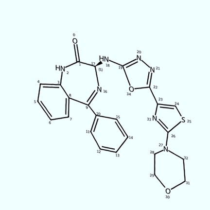 O=C1Nc2ccccc2C(c2ccccc2)=N[C@@H]1Nc1nnc(-c2csc(N3CCOCC3)n2)o1